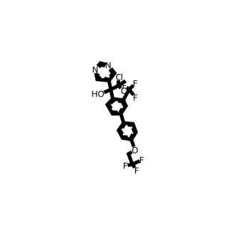 CC(Cl)(Cl)C(O)(c1cncnc1)c1ccc(-c2ccc(OCC(F)(F)F)cc2)cc1C(F)(F)F